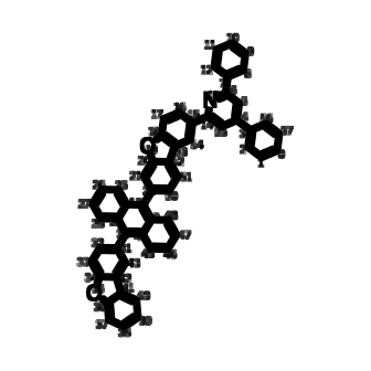 c1ccc(-c2cc(-c3ccccc3)nc(-c3ccc4oc5cc(-c6c7ccccc7c(-c7ccc8oc9ccccc9c8c7)c7ccccc67)ccc5c4c3)c2)cc1